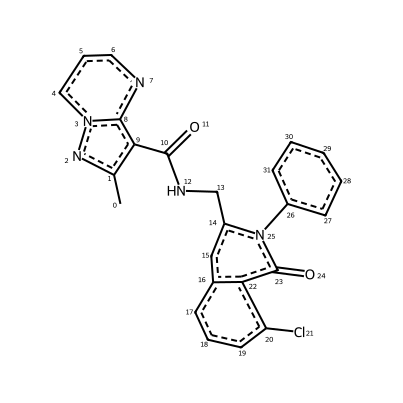 Cc1nn2cccnc2c1C(=O)NCc1cc2cccc(Cl)c2c(=O)n1-c1ccccc1